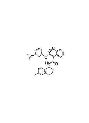 Cc1ccc2c(c1)CCC[C@@H]2NC(=O)c1c(Oc2cccc(C(F)(F)F)c2)nnc2ccccc12